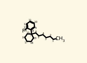 CCCCCCCC1(c2ccccc2F)CCCCC1